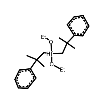 CC[O][Hf]([CH2]C(C)(C)c1ccccc1)([CH2]C(C)(C)c1ccccc1)[O]CC